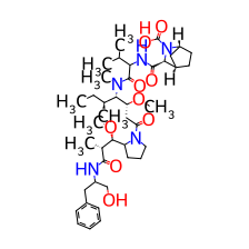 CC[C@H](C)[C@@H]([C@@H](CC(=O)N1CCCC1[C@H](OC)[C@@H](C)C(=O)NC(CO)Cc1ccccc1)OC)N(C)C(=O)C(NC(=O)[C@@H]1[C@H]2CC[C@H](C2)N1C(=O)O)C(C)C